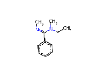 CCN(C)C(=NC)c1ccccc1